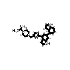 CC(C)N1CCN(Cc2cnc(-c3cc(-c4cccc5[nH]ccc45)cc4[nH]ccc34)o2)CC1